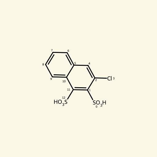 O=S(=O)(O)c1c(Cl)cc2ccccc2c1S(=O)(=O)O